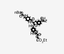 CCCCOC(=O)NCC1CCC(C(=O)N[C@@H](Cc2cccc(N(C)C(C)=O)c2)C(=O)Nc2ccc3[nH]c(C(=O)OCC(=O)OCC)nc3c2)CC1